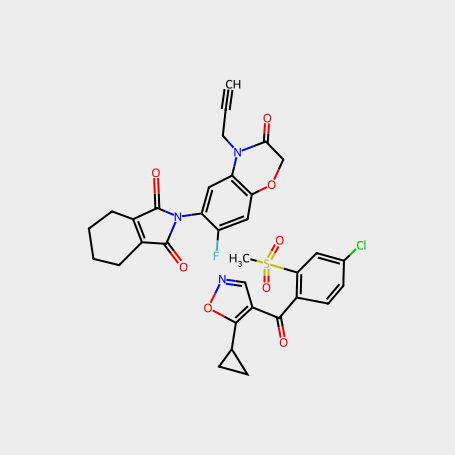 C#CCN1C(=O)COc2cc(F)c(N3C(=O)C4=C(CCCC4)C3=O)cc21.CS(=O)(=O)c1cc(Cl)ccc1C(=O)c1cnoc1C1CC1